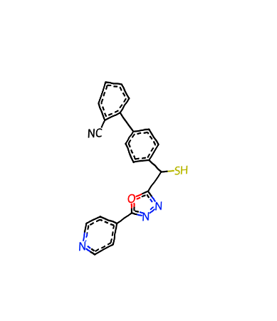 N#Cc1ccccc1-c1ccc(C(S)c2nnc(-c3ccncc3)o2)cc1